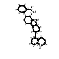 C[C@@H](N[C@@H]1CCCc2c1[nH]c1ccc(-c3cccc4ncccc34)cc21)c1ccccc1